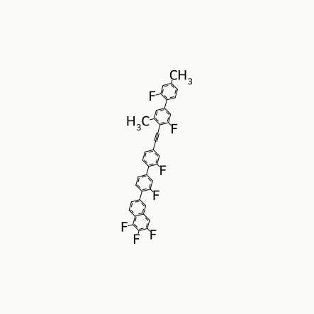 Cc1ccc(-c2cc(C)c(C#Cc3ccc(-c4ccc(-c5ccc6c(F)c(F)c(F)cc6c5)c(F)c4)c(F)c3)c(F)c2)c(F)c1